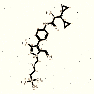 C=Cc1c(-c2ccc(NC(=O)[C@@H](N)C(C3CC3)C3CC3)cc2)c(C)nn1COCC[Si](C)(C)C